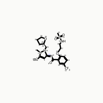 Cn1c(C(C)(C)C)c/c(=N\C(=O)c2cc(C(F)(F)F)ccc2OCCNS(C)(=O)=O)n1C[C@H]1CCCO1